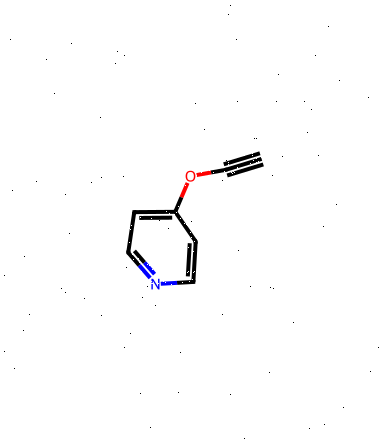 C#COc1ccncc1